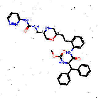 COC(=O)NC(C(=O)Nc1ccccc1CC[C@@H]1CN[C@H](CNC(=O)Nc2cccnn2)CO1)C(c1ccccc1)c1ccccc1